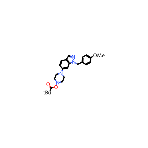 COc1ccc(Cn2ncc3ccc(N4CCN(OC(=O)C(C)(C)C)CC4)cc32)cc1